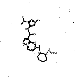 Cn1cc(NC(=O)c2cnn3ccc(N[C@@H]4CCCC[C@@H]4NC(=O)O)nc23)c(C(F)F)n1